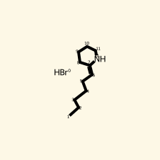 Br.CCCCCC=C1CCCCN1